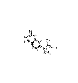 CC(=O)N(C)c1ccc2c(c1)CNCN2